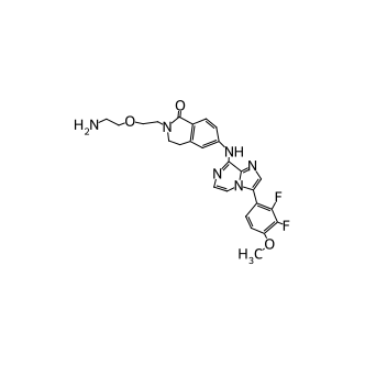 COc1ccc(-c2cnc3c(Nc4ccc5c(c4)CCN(CCOCCN)C5=O)nccn23)c(F)c1F